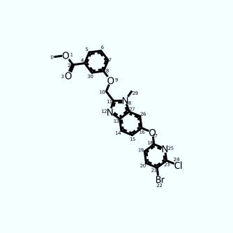 COC(=O)c1cccc(OCc2nc3ccc(Oc4ccc(Br)c(Cl)n4)cc3n2C)c1